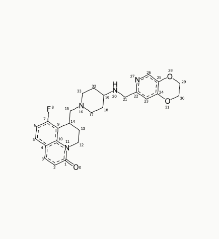 O=c1ccc2ccc(F)c3c2n1CCC3CN1CCC(NCc2cc3c(cn2)OCCO3)CC1